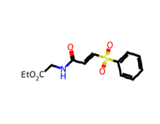 CCOC(=O)CNC(=O)C=CS(=O)(=O)c1ccccc1